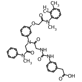 Cc1cccc(N(C)C(=O)COc2cccc(N(CC(=O)N(C)c3ccccc3)C(=O)CNC(=O)Nc3cccc(CC(=O)O)c3)c2)c1C